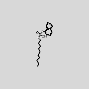 CCCCCCCCCCOP(=O)(O)Oc1cccc2ccccc12